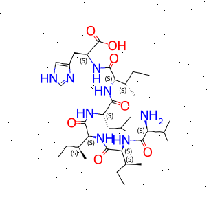 CC[C@H](C)[C@H](NC(=O)[C@H](CC(C)C)NC(=O)[C@@H](NC(=O)[C@@H](NC(=O)[C@@H](N)C(C)C)[C@@H](C)CC)[C@@H](C)CC)C(=O)N[C@@H](Cc1c[nH]cn1)C(=O)O